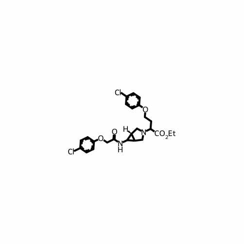 CCOC(=O)C(CCOc1ccc(Cl)cc1)N1CC2C(NC(=O)COc3ccc(Cl)cc3)[C@@H]2C1